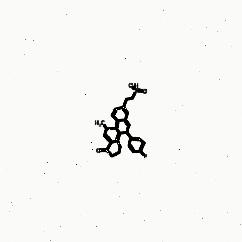 CC1C=C2C(=O)CCCC2=C2C1=c1ccc(CC[SH](=O)=O)cc1=CC2c1ccc(F)cc1